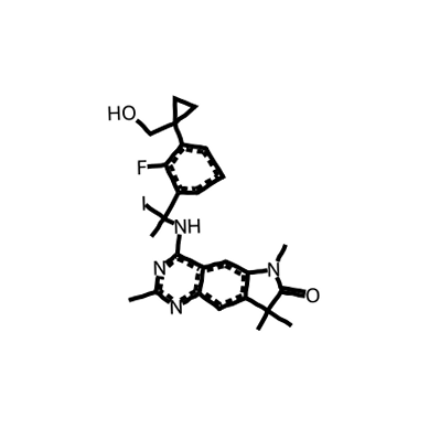 Cc1nc(NC(C)(I)c2cccc(C3(CO)CC3)c2F)c2cc3c(cc2n1)C(C)(C)C(=O)N3C